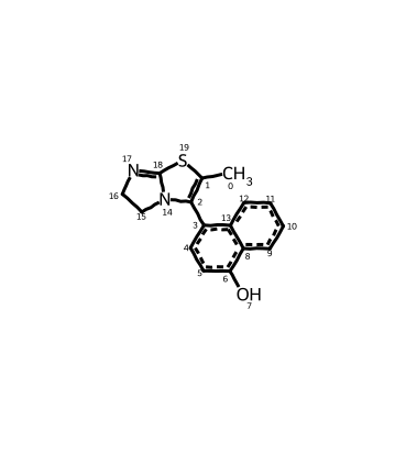 CC1=C(c2ccc(O)c3ccccc23)N2CCN=C2S1